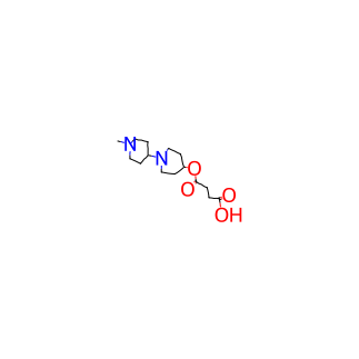 CN1CCC(N2CCC(OC(=O)CCC(=O)O)CC2)CC1